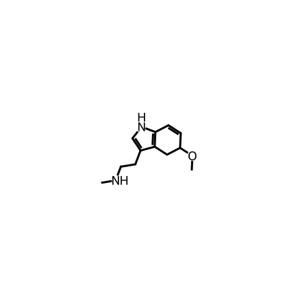 CNCCc1c[nH]c2c1CC(OC)C=C2